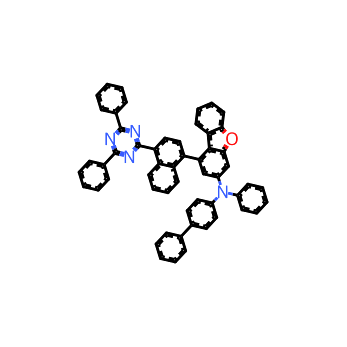 c1ccc(-c2ccc(N(c3ccccc3)c3cc(-c4ccc(-c5nc(-c6ccccc6)nc(-c6ccccc6)n5)c5ccccc45)c4c(c3)oc3ccccc34)cc2)cc1